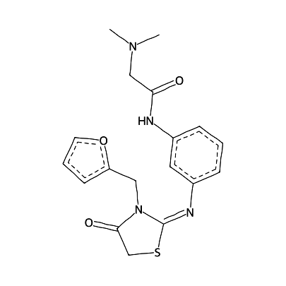 CN(C)CC(=O)Nc1cccc(N=C2SCC(=O)N2Cc2ccco2)c1